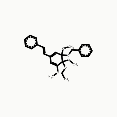 CCOC1(OC)C(OC)=CC(C=Cc2ccccc2)=CC1(OC)OCc1ccccc1